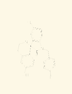 O=C1N(Cc2ccc(F)cc2)c2ccc(Cl)cc2C12NCCc1cc(O)ccc12